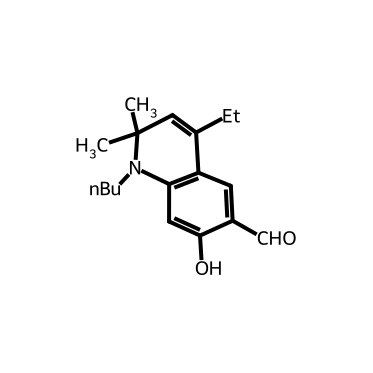 CCCCN1c2cc(O)c(C=O)cc2C(CC)=CC1(C)C